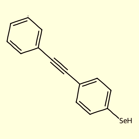 [SeH]c1ccc(C#Cc2c[c]ccc2)cc1